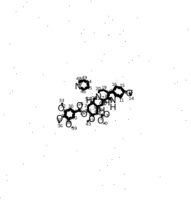 COC(=O)[C@H]1[C@H]2C[C@@H]3c4[nH]c5cc(OC)ccc5c4CCN3C[C@H]2C[C@@H](OC(=O)c2cc(OC)c(OC)c(OC)c2)[C@@H]1OC.c1ccncc1